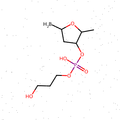 BC1CC(OP(=O)(O)OCCCO)C(C)O1